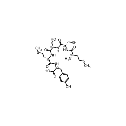 CSCC[C@H](NC(=O)[C@@H](CO)NC(=O)[C@H](CS)NC(=O)[C@@H](N)CCSC)C(=O)N[C@@H](Cc1ccc(O)cc1)C(=O)O